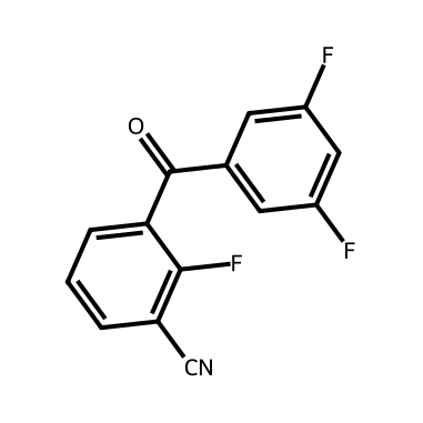 N#Cc1cccc(C(=O)c2cc(F)cc(F)c2)c1F